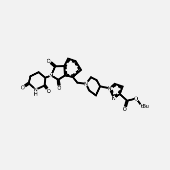 CC(C)(C)OC(=O)c1ccn(C2CCN(Cc3cccc4c3C(=O)N(C3CCC(=O)NC3=O)C4=O)CC2)n1